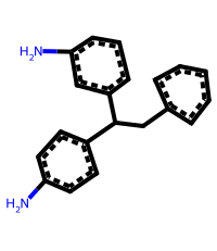 Nc1ccc(C(Cc2ccccc2)c2cccc(N)c2)cc1